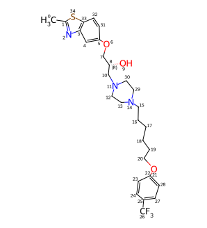 Cc1nc2cc(OC[C@H](O)CN3CCN(CCCCCCOc4ccc(C(F)(F)F)cc4)CC3)ccc2s1